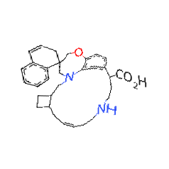 O=C(O)C1CCNCCC=CCC2CCC2CN2CC3(CC=Cc4ccccc43)COc3ccc1cc32